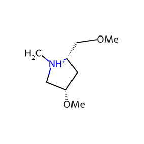 [CH2-][NH+]1C[C@@H](OC)C[C@H]1COC